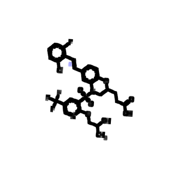 CC(O)COc1ncc(C(F)(F)F)cc1S(=O)(=O)N1CC(CCC(=O)O)Oc2ccc(/C=C/c3c(F)cccc3Cl)cc21